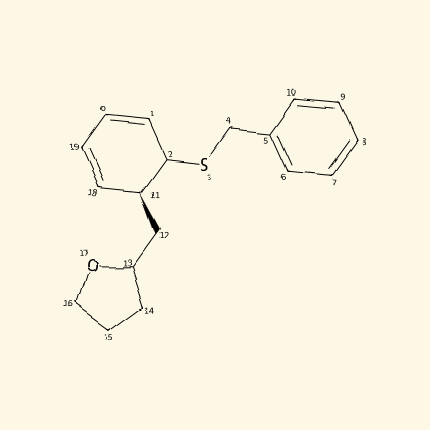 C1=CC(SCc2ccccc2)[C@@H](CC2CCCO2)C=C1